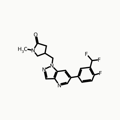 CN1CC(Cn2ncc3ncc(-c4ccc(F)c(C(F)F)c4)cc32)CC1=O